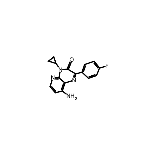 Nc1ccnc2c1nc(-c1ccc(F)cc1)c(=O)n2C1CC1